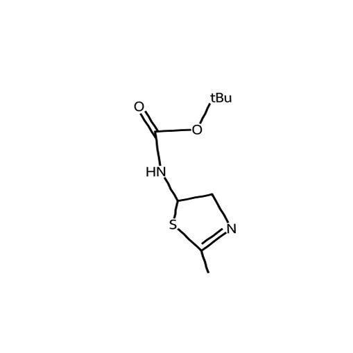 CC1=NCC(NC(=O)OC(C)(C)C)S1